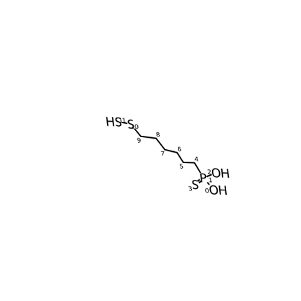 OP(O)(=S)CCCCCCSS